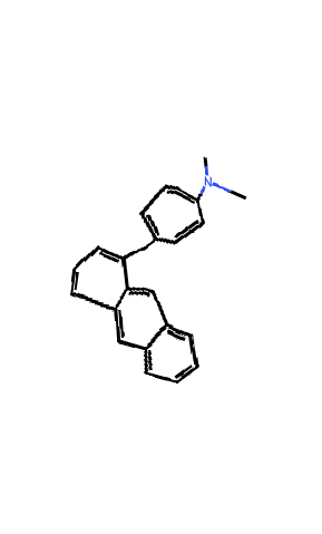 CN(C)c1ccc(-c2cccc3cc4ccccc4cc23)cc1